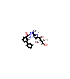 CC(=NNC(=O)c1cccc(-c2ccccc2)c1)c1nc([C@@H](O)[C@H](O)[C@H](O)CO)c[nH]1